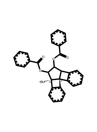 CC(C)(C)[C@@]12c3ccccc3[C@@]13c1ccccc1C3C(OC(=O)c1ccccc1)C2OC(=O)c1ccccc1